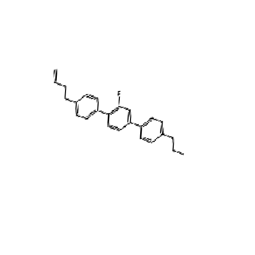 C=CCCc1ccc(-c2ccc(-c3ccc(CCC)cc3)cc2F)cc1